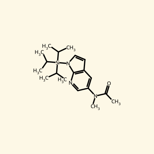 CC(=O)N(C)c1cnc2c(ccn2[Si](C(C)C)(C(C)C)C(C)C)c1